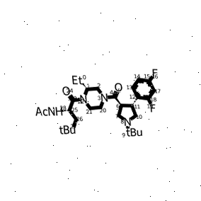 CC[C@@H]1CN(C(=O)[C@@H]2CN(C(C)(C)C)C[C@H]2c2ccc(F)cc2F)CCN1C(=O)[C@H](CC(C)(C)C)NC(C)=O